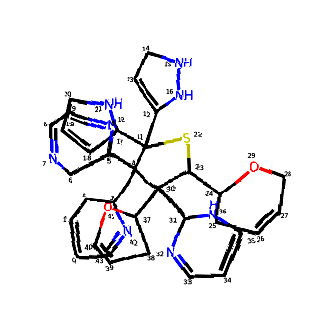 C1=CCC(C2(C3CN=CC=N3)C(C3=CCNN3)(C3C=CCN3)S[C](C3CC=CCO3)C2(C2N=CC=CN2)C2CC=CO2)N=C1